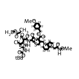 BOC(=O)[C@H](C)O/N=C(\C(=O)NC1C(=O)N2C(C(=O)OCc3ccc(OC)cc3)=C(C[n+]3cccc4c3ccn4CC(=O)NOC)CSC12)c1nc(NC(=O)OC(C)(C)C)sc1Cl